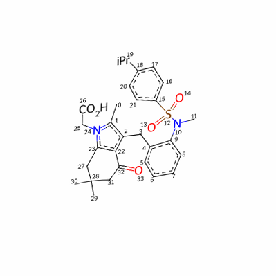 Cc1c(Cc2ccccc2N(C)S(=O)(=O)c2ccc(C(C)C)cc2)c2c(n1CC(=O)O)CC(C)(C)CC2=O